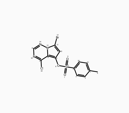 Cc1ccc(S(=O)(=O)Oc2cc(Br)n3ncnc(Cl)c23)cc1